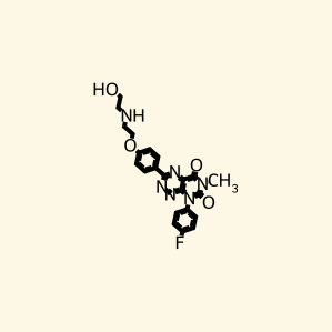 Cn1c(=O)c2nc(-c3ccc(OCCNCCO)cc3)nnc2n(-c2ccc(F)cc2)c1=O